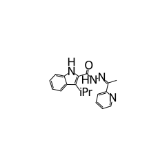 CC(=NNC(=O)c1[nH]c2ccccc2c1C(C)C)c1ccccn1